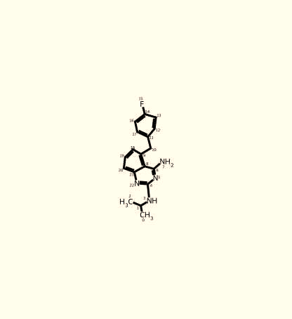 CC(C)Nc1nc(N)c2c(Cc3ccc(F)cc3)cccc2n1